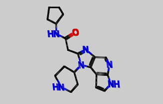 O=C(Cc1nc2cnc3[nH]ccc3c2n1C1CCNCC1)NC1CCCC1